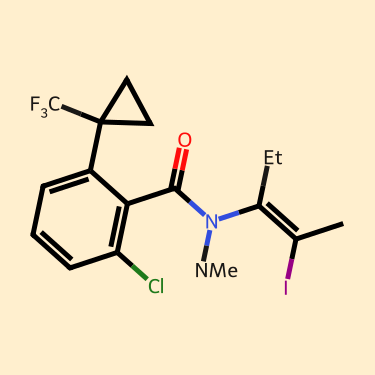 CC/C(=C(\C)I)N(NC)C(=O)c1c(Cl)cccc1C1(C(F)(F)F)CC1